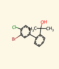 CC(C)(O)c1ccccc1-c1ccc(Cl)c(Br)c1